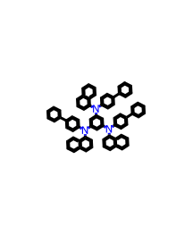 c1ccc(-c2ccc(N(c3cc(N(c4ccc(-c5ccccc5)cc4)c4cccc5ccccc45)cc(N(c4ccc(-c5ccccc5)cc4)c4cccc5ccccc45)c3)c3cccc4ccccc34)cc2)cc1